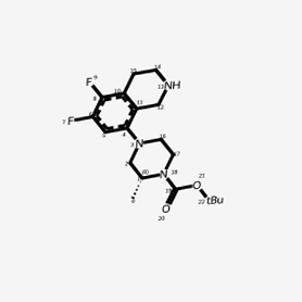 C[C@@H]1CN(c2cc(F)c(F)c3c2CNCC3)CCN1C(=O)OC(C)(C)C